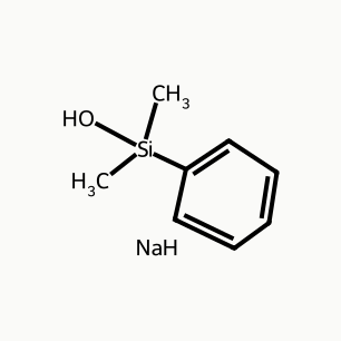 C[Si](C)(O)c1ccccc1.[NaH]